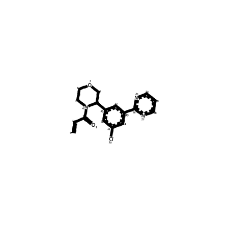 C=CC(=O)N1CCOCC1c1cc(Cl)cc(-c2ncccn2)c1